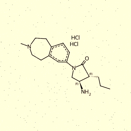 CCC[C@H]1C(=O)N(c2ccc3c(c2)CCN(C)CC3)C[C@@H]1N.Cl.Cl